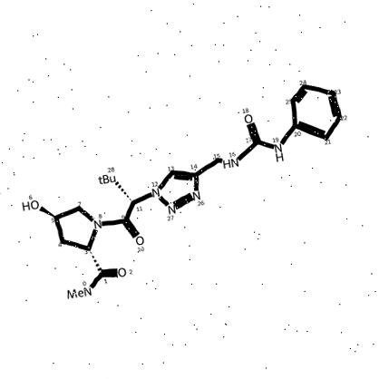 CNC(=O)[C@@H]1C[C@@H](O)CN1C(=O)[C@@H](n1cc(CNC(=O)Nc2ccccc2)nn1)C(C)(C)C